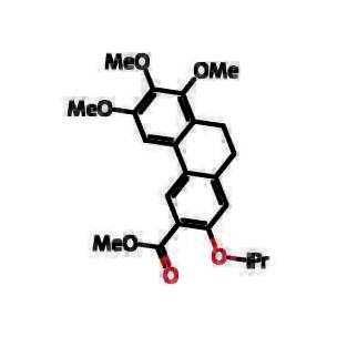 COC(=O)c1cc2c(cc1OC(C)C)CCc1c-2cc(OC)c(OC)c1OC